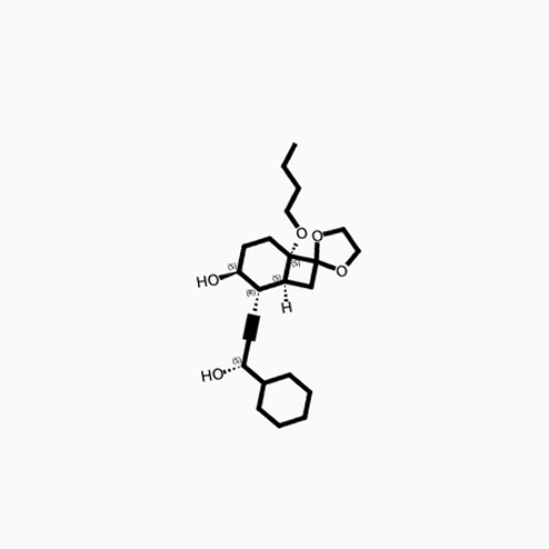 CCCCO[C@@]12CC[C@H](O)[C@@H](C#C[C@@H](O)C3CCCCC3)[C@@H]1CC21OCCO1